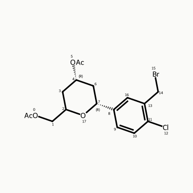 CC(=O)OCC1C[C@H](OC(C)=O)C[C@H](c2ccc(Cl)c(CBr)c2)O1